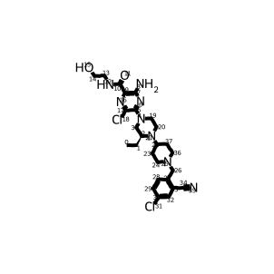 CC[C@H]1CN(c2nc(N)c(C(=O)NCCO)nc2Cl)CCN1C1CCN(Cc2ccc(Cl)cc2C#N)CC1